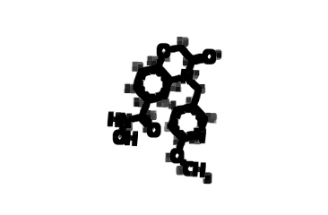 COc1ccc(CN2C(=O)COc3ccc(C(=O)NO)cc32)cn1